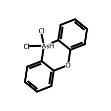 Cl[AsH]1(Cl)c2ccccc2Oc2ccccc21